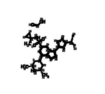 C[C@@H]1CN(c2cc(S(=O)(=O)NC3(C)CC3)cn3c(-c4nnc(C(F)F)s4)ncc23)C[C@H](C)N1.O=CO